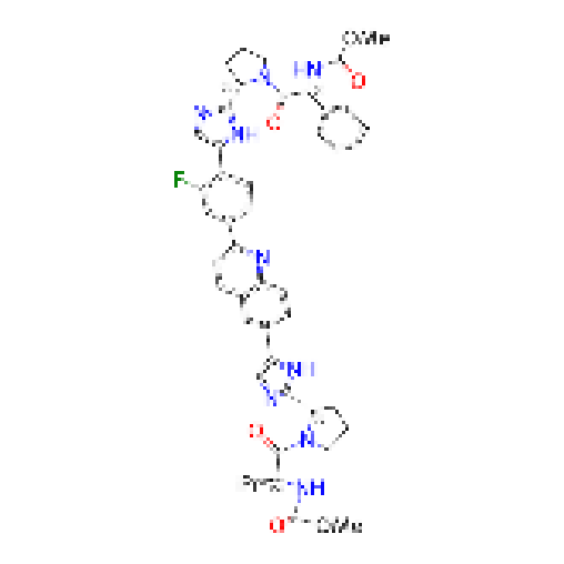 COC(=O)N[C@H](C(=O)N1CCC[C@H]1c1ncc(-c2ccc3nc(-c4ccc(-c5cnc([C@@H]6CCCN6C(=O)[C@H](NC(=O)OC)c6ccccc6)[nH]5)c(F)c4)ccc3c2)[nH]1)C(C)C